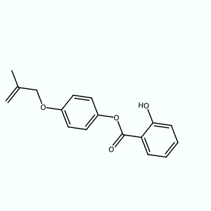 C=C(C)COc1ccc(OC(=O)c2ccccc2O)cc1